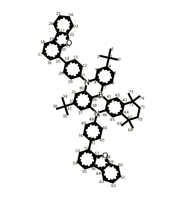 CC(C)(C)c1ccc2c(c1)N(c1ccc(-c3cccc4c3oc3ccccc34)cc1)c1cc(C(C)(C)C)cc3c1B2c1cc2c(cc1N3c1ccc(-c3cccc4c3oc3ccccc34)cc1)C(C)(C)CCC2(C)C